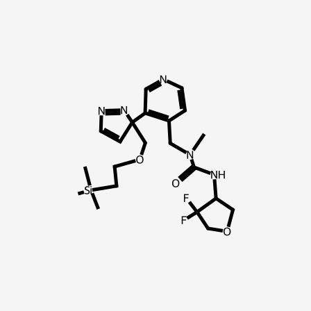 CN(Cc1ccncc1C1(COCC[Si](C)(C)C)C=CN=N1)C(=O)NC1COCC1(F)F